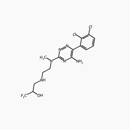 CN(CCNCC(O)C(F)(F)F)c1nnc(-c2cccc(Cl)c2Cl)c(N)n1